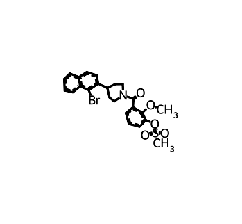 COc1c(OS(C)(=O)=O)cccc1C(=O)N1CCC(c2ccc3ccccc3c2Br)CC1